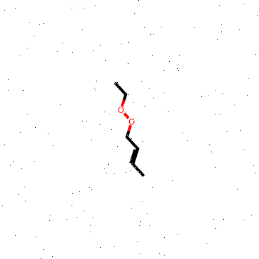 C[CH]OOCC=CC